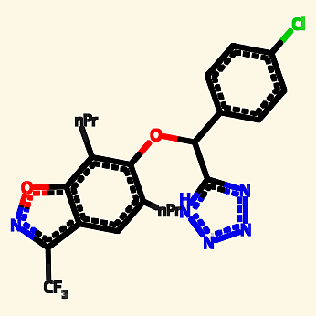 CCCc1cc2c(C(F)(F)F)noc2c(CCC)c1OC(c1ccc(Cl)cc1)c1nnn[nH]1